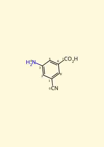 N#Cc1cc(N)cc(C(=O)O)c1